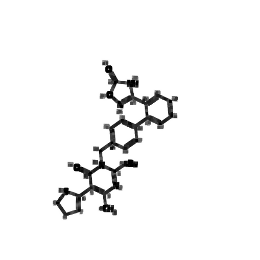 CCCCc1nc(C)c(C2=CCCS2)c(=O)n1Cc1ccc(-c2ccccc2-c2noc(=O)[nH]2)cc1